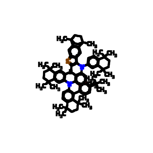 Cc1cc2c3c(c1)N(c1ccc4c(c1)C(C)(C)CCC4(C)C)c1c(sc4cc5c(cc14)C1(C)CCC5(C)CC1)B3c1cc3c(cc1N2c1ccc2c(c1-c1ccc(C(C)(C)C)cc1)C(C)(C)CCC2(C)C)C(C)(C)CCC3(C)C